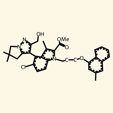 COC(=O)c1c(C)c2c(-c3c(CO)nn4c3CC(C)(C)C4)c(Cl)ccc2n1CCCOc1cc(C)cc2ccccc12